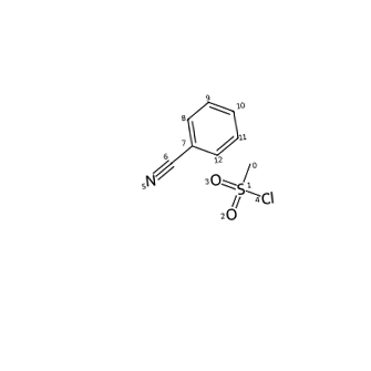 CS(=O)(=O)Cl.N#Cc1ccccc1